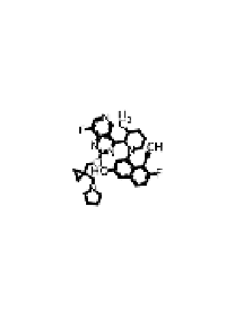 C#Cc1c(F)ccc2cc(O)cc(N3CCCC(C)C3c3nc(OCC4(CN5CCCC5)CC4)nc4c(F)cncc34)c12